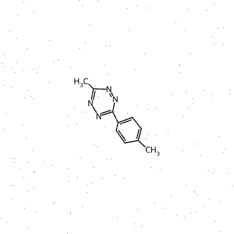 Cc1ccc(-c2nnc(C)nn2)cc1